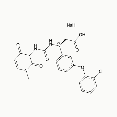 CN1C=CC(=O)C(NC(=O)N[C@@H](CC(=O)O)c2cccc(Oc3ccccc3Cl)c2)C1=O.[NaH]